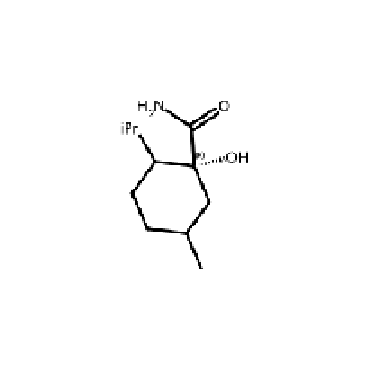 CC1CCC(C(C)C)[C@@](O)(C(N)=O)C1